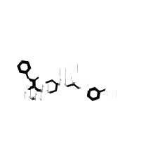 Cc1c(-c2ccccc2)sc2ncnc(N3CCC(NCC(O)COc4cccc(CO)c4)CC3)c12